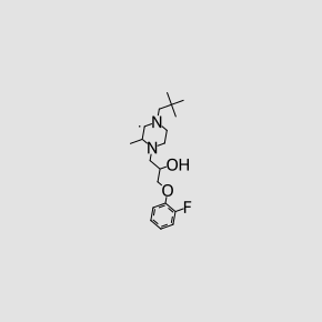 CC1[CH]N(CC(C)(C)C)CCN1CC(O)COc1ccccc1F